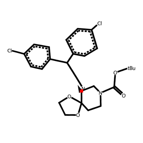 CC(C)(C)OC(=O)N1CCC2(OCCO2)C2(CCN(C(c3ccc(Cl)cc3)c3ccc(Cl)cc3)C2)C1